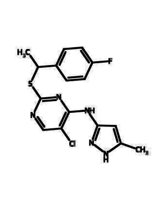 Cc1cc(Nc2nc(SC(C)c3ccc(F)cc3)ncc2Cl)n[nH]1